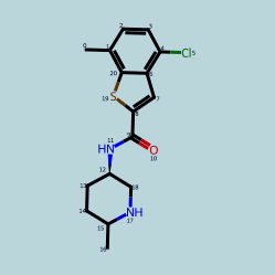 Cc1ccc(Cl)c2cc(C(=O)N[C@@H]3CCC(C)NC3)sc12